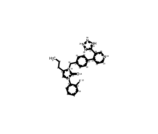 CCCc1cn(-c2ccccc2F)c(=O)n1Cc1ccc(-c2ccncc2-c2nnn[nH]2)cc1